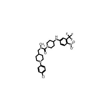 CN(CC1CCN(c2ccc(Cl)cc2)CC1)C(=O)N1CCC(Nc2ccc([N+](=O)[O-])c(C(F)(F)F)c2)CC1